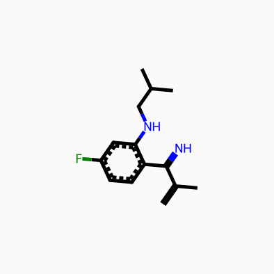 C=C(C)C(=N)c1ccc(F)cc1NCC(C)C